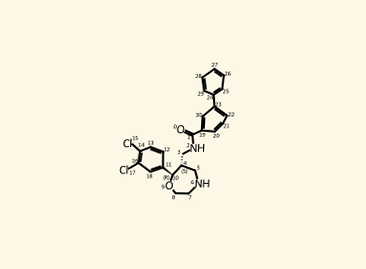 O=C(NC[C@@H]1CNCCO[C@H]1c1ccc(Cl)c(Cl)c1)c1cccc(-c2ccccc2)c1